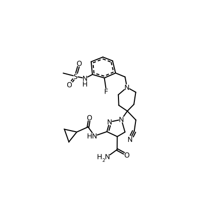 CS(=O)(=O)Nc1cccc(CN2CCC(CC#N)(N3CC(C(N)=O)C(NC(=O)C4CC4)=N3)CC2)c1F